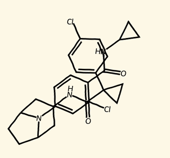 O=C(NC1CC1)c1ccc(N2C3CCC2CC(NC(=O)C2(c4ccc(Cl)cc4)CC2)C3)cc1Cl